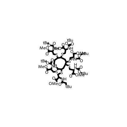 COC(=O)C(CSC1CC(SCC(NC(=O)OC(C)(C)C)C(=O)OC)C(SCC(NC(=O)OC(C)(C)C)C(=O)OC)CC(SCC(NC(=O)OC(C)(C)C)C(=O)OC)C(SCC(NC(=O)OC(C)(C)C)C(=O)OC)CCCC1SCC(NC(=O)OC(C)(C)C)C(=O)OC)NC(=O)CC(C)(C)C